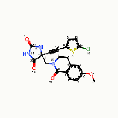 COc1ccc2c(c1)CCN(C[C@]1(C#Cc3ccc(Cl)s3)NC(=O)NC1=O)C2=O